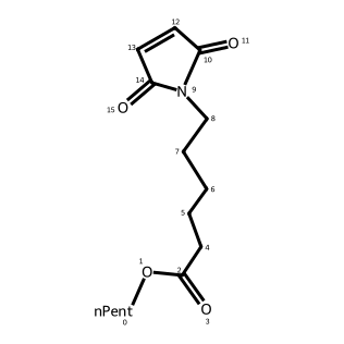 CCCCCOC(=O)CCCCCN1C(=O)C=CC1=O